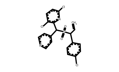 C=CC(c1ccc(Cl)cc1)S(=O)(=O)C(c1ccncc1)c1nc(Cl)ccc1Cl